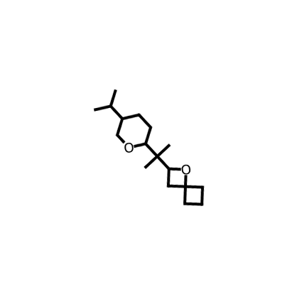 CC(C)C1CCC(C(C)(C)C2CC3(CCC3)O2)OC1